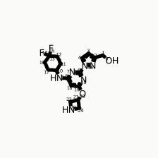 OCc1ccn(-c2nc(NC3CCC(F)(F)CC3)cc(OC3CNC3)n2)n1